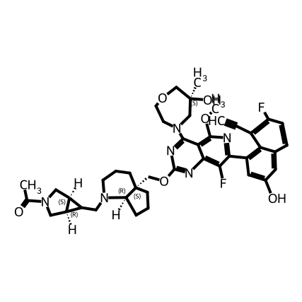 C#Cc1c(F)ccc2cc(O)cc(-c3nc(OC)c4c(N5CCOC[C@@](C)(O)C5)nc(OC[C@]56CCC[C@H]5N(CC5[C@H]7CN(C(C)=O)C[C@@H]57)CCC6)nc4c3F)c12